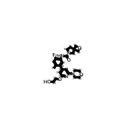 Cc1cc(F)c(NC(=O)N2CCC3(COC3)C2)cc1-c1cc(OCCO)nc(N2CCOCC2)c1